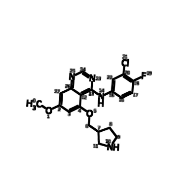 COc1cc(OCC2CCNC2)c2c(Nc3ccc(F)c(Cl)c3)ncnc2c1